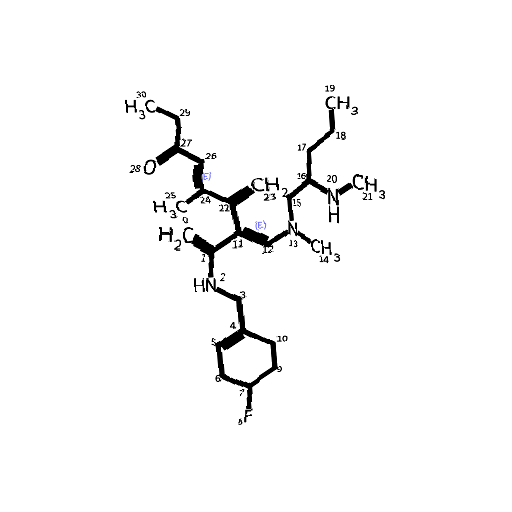 C=C(NCC1=CCC(F)CC1)/C(=C/N(C)CC(CCC)NC)C(=C)/C(C)=C/C(=O)CC